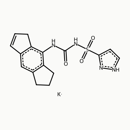 O=C(Nc1c2c(cc3c1CCC3)C=CC2)NS(=O)(=O)c1cc[nH]n1.[K]